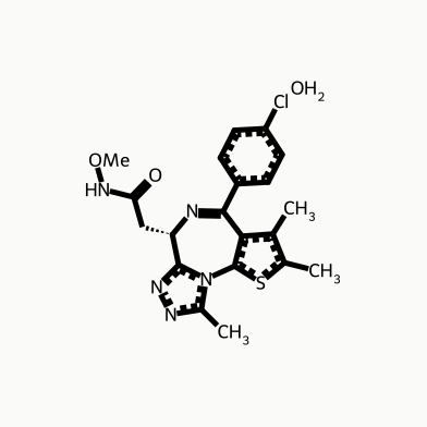 CONC(=O)C[C@@H]1N=C(c2ccc(Cl)cc2)c2c(sc(C)c2C)-n2c(C)nnc21.O